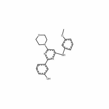 COc1cccc(Nc2cc(N3CCOCC3)nc(-c3cccc(O)c3)n2)c1